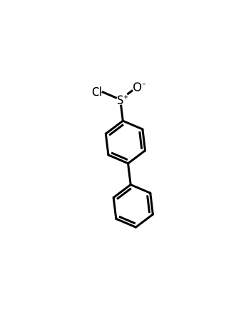 [O-][S+](Cl)c1ccc(-c2ccccc2)cc1